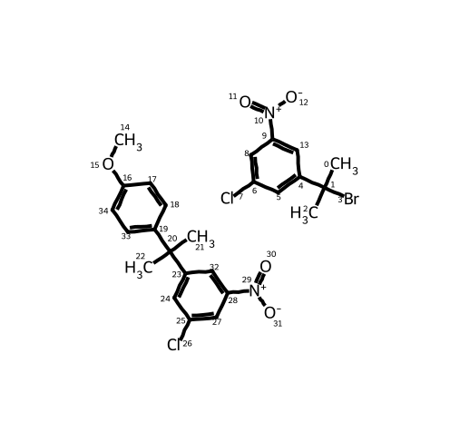 CC(C)(Br)c1cc(Cl)cc([N+](=O)[O-])c1.COc1ccc(C(C)(C)c2cc(Cl)cc([N+](=O)[O-])c2)cc1